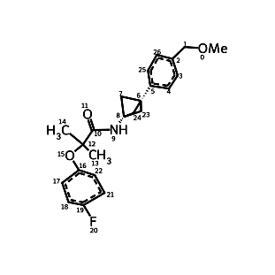 COCc1ccc([C@]23C[C@](NC(=O)C(C)(C)Oc4ccc(F)cc4)(C2)C3)cc1